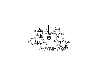 CC(=O)Nc1ccc(N2CCCC2c2csc(NC(=O)c3cccn3Cc3ccncc3)n2)cc1